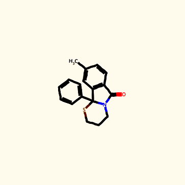 Cc1ccc2c(c1)C1(c3ccccc3)SCCCN1C2=O